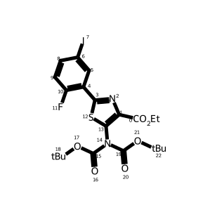 CCOC(=O)c1nc(-c2cc(I)ccc2F)sc1N(C(=O)OC(C)(C)C)C(=O)OC(C)(C)C